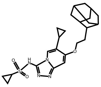 O=S(=O)(Nc1nnc2cc(OCCC3C4CC5CC(C4)CC3C5)c(C3CC3)cn12)C1CC1